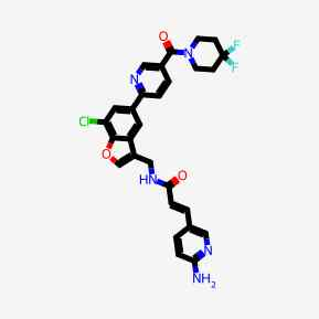 Nc1ccc(C=CC(=O)NCc2coc3c(Cl)cc(-c4ccc(C(=O)N5CCC(F)(F)CC5)cn4)cc23)cn1